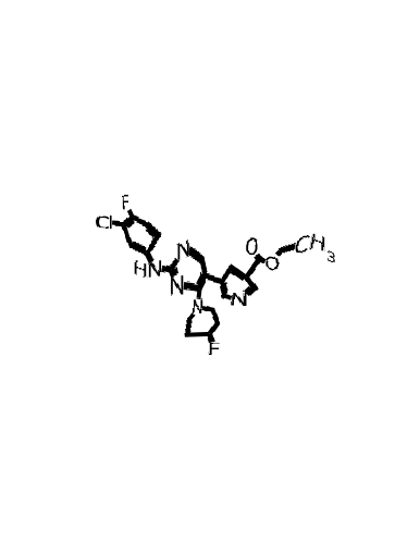 CCOC(=O)c1cncc(-c2cnc(Nc3ccc(F)c(Cl)c3)nc2N2CCC(F)CC2)c1